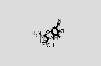 Cc1c(N[C@@H](C(=O)NN)[C@H](C)O)ccc(C#N)c1Cl